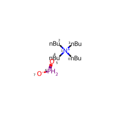 CCCC[N+](CCCC)(CCCC)CCCC.O=[PH2][O-]